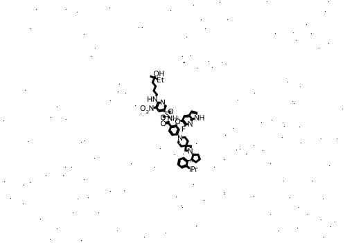 CC[C@@](C)(O)CCCCNc1ncc(S(=O)(=O)NC(=O)c2ccc(N3CCC4(CC3)CN([C@H]3CCC[C@H]3c3ccccc3C(C)C)C4)cc2Oc2cc3cc[nH]c3nc2F)cc1[N+](=O)[O-]